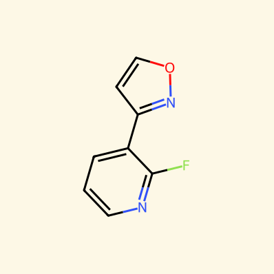 Fc1ncccc1-c1ccon1